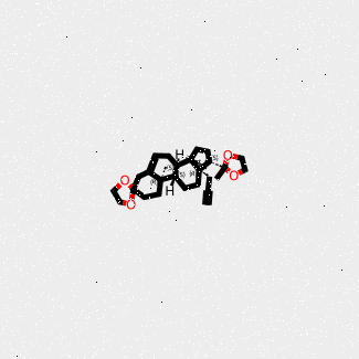 C#CC[C@]12CC[C@H]3[C@@H](CC=C4CC5(CC[C@@]43C)OCCO5)[C@@H]1CC[C@@H]2C1(C)OCCO1